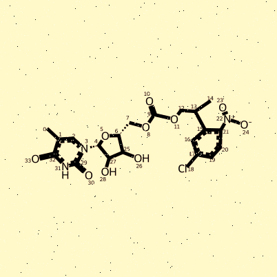 Cc1cn([C@@H]2O[C@H](COC(=O)OCC(C)c3cc(Cl)ccc3[N+](=O)[O-])C(O)C2O)c(=O)[nH]c1=O